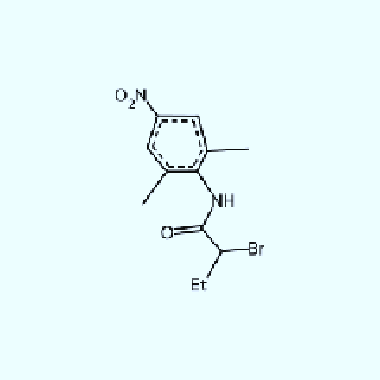 CCC(Br)C(=O)Nc1c(C)cc([N+](=O)[O-])cc1C